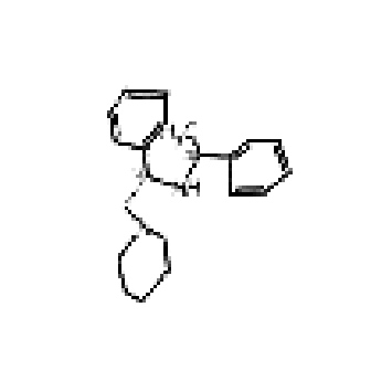 C[C@H](N[C@H](CN1CCCCC1)c1ccccc1)c1ccccc1